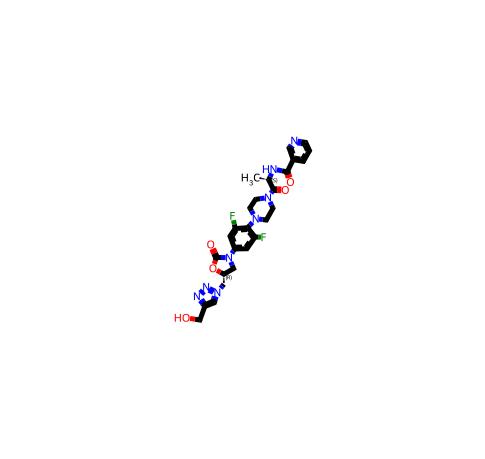 C[C@H](NC(=O)c1cccnc1)C(=O)N1CCN(c2c(F)cc(N3C[C@H](Cn4cc(CO)nn4)OC3=O)cc2F)CC1